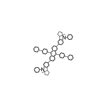 CC12CCCC1c1cc(-c3ccc4c(-c5ccc(-c6ccccc6)cc5)c5cc(-c6ccc7c(c6)C6CCCC6(C)N7c6ccccc6)ccc5c(-c5ccc(-c6ccccc6)cc5)c4c3)ccc1N2c1ccccc1